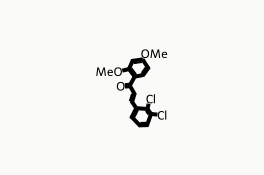 COc1ccc(C(=O)/C=C/c2cccc(Cl)c2Cl)c(OC)c1